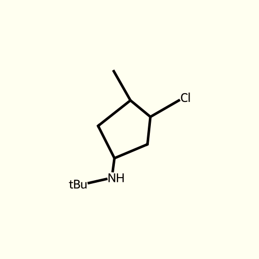 CC1CC(NC(C)(C)C)CC1Cl